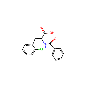 O=C(NC(Cc1ccccc1Cl)C(=O)O)c1ccccc1